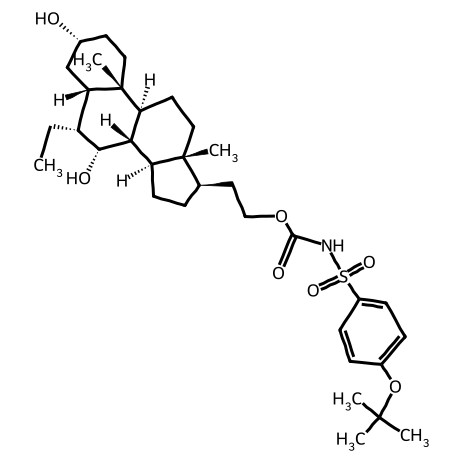 CC[C@H]1[C@@H](O)[C@@H]2[C@H](CC[C@]3(C)[C@@H](CCOC(=O)NS(=O)(=O)c4ccc(OC(C)(C)C)cc4)CC[C@@H]23)[C@@]2(C)CC[C@@H](O)C[C@@H]12